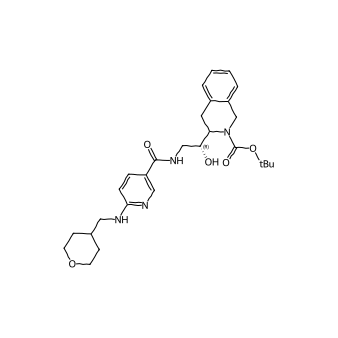 CC(C)(C)OC(=O)N1Cc2ccccc2CC1[C@H](O)CNC(=O)c1ccc(NCC2CCOCC2)nc1